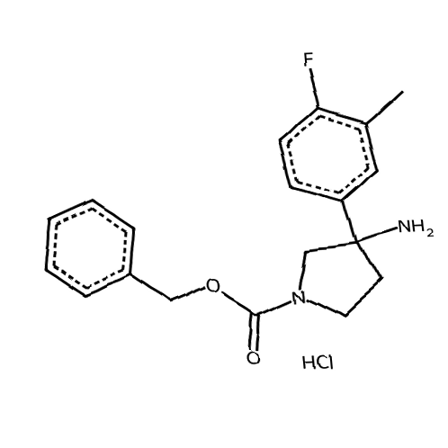 Cc1cc(C2(N)CCN(C(=O)OCc3ccccc3)C2)ccc1F.Cl